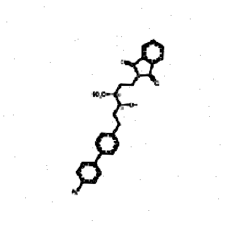 CC(=O)c1ccc(-c2ccc(CC[C@H](O)[C@@H](CCN3C(=O)c4ccccc4C3=O)C(=O)O)cc2)cc1